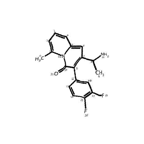 Cc1cccc2cc(C(C)N)c(-c3ccc(F)c(F)c3)c(=O)n12